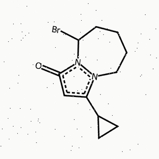 O=c1cc(C2CC2)n2n1C(Br)CCCC2